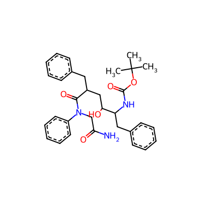 CC(C)(C)OC(=O)NC(Cc1ccccc1)C(O)CC(Cc1ccccc1)C(=O)N(CC(N)=O)c1ccccc1